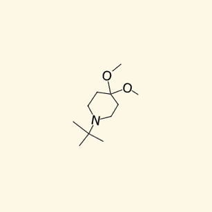 COC1(OC)CCN(C(C)(C)C)CC1